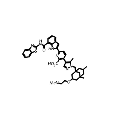 CNCCOC1CC2(C)CC(C)CC(Cn3ncc(-c4ccc(-c5cc6cccc(C(=O)Nc7nc8ccccc8s7)c6[nH]5)nc4C(=O)O)c3C)(C1)C2